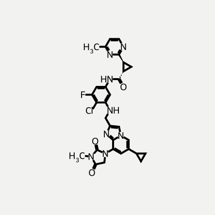 Cc1ccnc([C@H]2C[C@@H]2C(=O)Nc2cc(F)c(Cl)c(NCc3cn4cc(C5CC5)cc(N5CC(=O)N(C)C5=O)c4n3)c2)n1